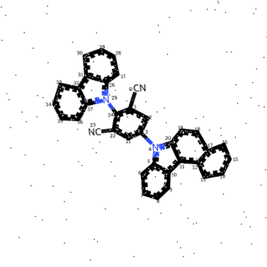 N#Cc1cc(-n2c3ccccc3c3c4ccccc4ccc32)cc(C#N)c1-n1c2ccccc2c2ccccc21